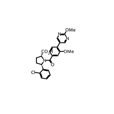 COc1ncc(-c2ccc(C(=O)N3[C@@H](c4ccccc4Cl)CC[C@H]3C(=O)O)cc2OC)cn1